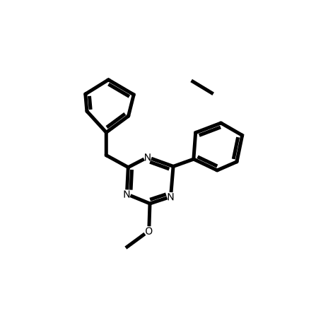 CC.COc1nc(Cc2ccccc2)nc(-c2ccccc2)n1